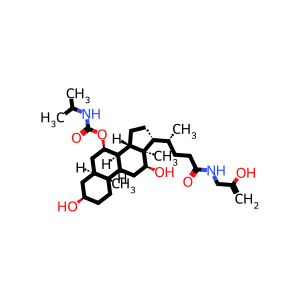 C=C(O)CNC(=O)CC[C@@H](C)[C@H]1CC[C@H]2[C@@H]3[C@H](OC(=O)NC(C)C)C[C@@H]4C[C@H](O)CC[C@]4(C)[C@H]3C[C@H](O)[C@]12C